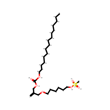 C=C(COCCCCCCOS(C)(=O)=O)COC(=O)OCCCCCCCCCCCCCCCC